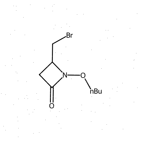 CCCCON1C(=O)CC1CBr